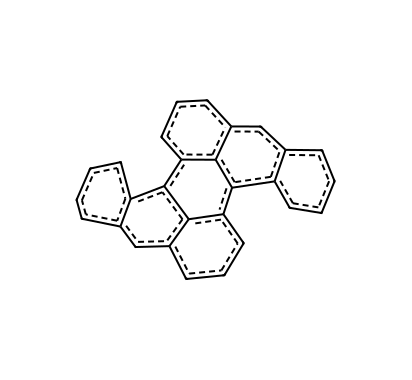 c1ccc2c(c1)cc1cccc3c1c2c1cccc2cc4ccccc4c3c21